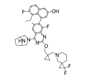 CCc1c(F)ccc2cc(O)cc(-c3c(C)cc4c(N5CC6CCC(C5)N6)nc(OCC5(CN6CCCC7(C6)CC7(F)F)CC5)nc4c3F)c12